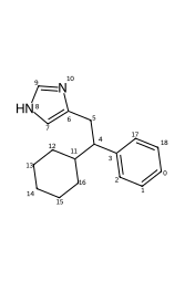 c1ccc(C(Cc2c[nH]cn2)C2CCCCC2)cc1